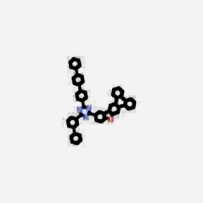 c1ccc(-c2ccc(-c3ccc(-c4nc(-c5cccc(-c6ccccc6)c5)nc(-c5ccc6oc7cc8c9ccccc9c9ccccc9c8cc7c6c5)n4)cc3)cc2)cc1